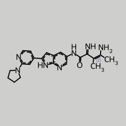 C/C(N)=C(\C)C(=N)C(=O)Nc1cnc2[nH]c(-c3ccnc(N4CCCC4)c3)cc2c1